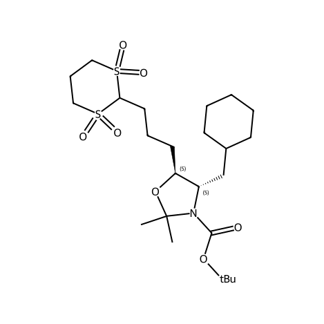 CC(C)(C)OC(=O)N1[C@@H](CC2CCCCC2)[C@H](CCCC2S(=O)(=O)CCCS2(=O)=O)OC1(C)C